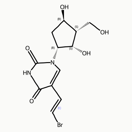 O=c1[nH]c(=O)n([C@@H]2C[C@@H](O)[C@H](CO)[C@@H]2O)cc1/C=C/Br